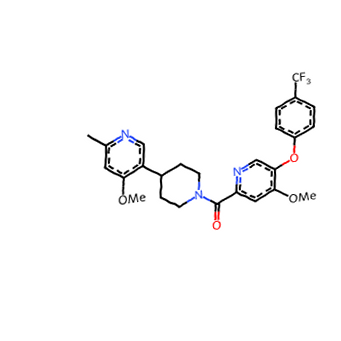 COc1cc(C(=O)N2CCC(c3cnc(C)cc3OC)CC2)ncc1Oc1ccc(C(F)(F)F)cc1